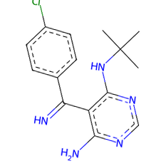 CC(C)(C)Nc1ncnc(N)c1C(=N)c1ccc(Cl)cc1